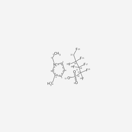 CC[n+]1cccc(C)c1.O=S(=O)([O-])C(F)(F)C(F)(F)C(F)(F)CF